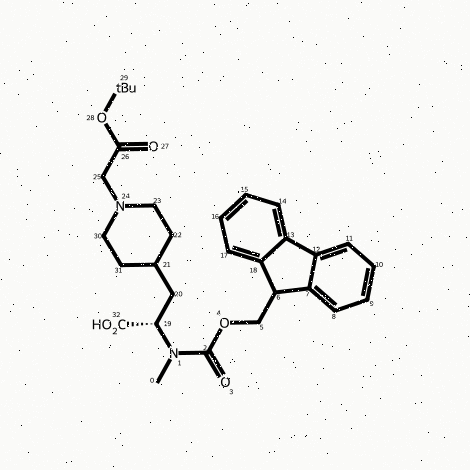 CN(C(=O)OCC1c2ccccc2-c2ccccc21)[C@@H](CC1CCN(CC(=O)OC(C)(C)C)CC1)C(=O)O